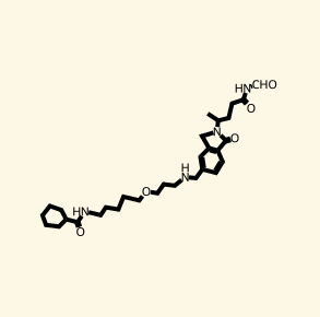 CC(CCC(=O)NC=O)N1Cc2cc(CNCCCOCCCCCNC(=O)C3CCCCC3)ccc2C1=O